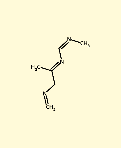 C=NC/C(C)=N/C=N\C